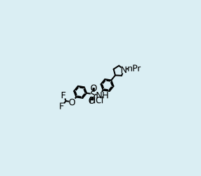 CCCN1CCC(c2ccc(NS(=O)(=O)c3cccc(OC(F)F)c3)cc2)C1.Cl